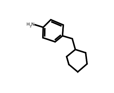 Nc1ccc(CC2CC[CH]CC2)cc1